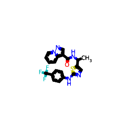 CC(NC(=O)c1cnn2ccccc12)c1cnc(Nc2ccc(C(F)(F)F)cc2)s1